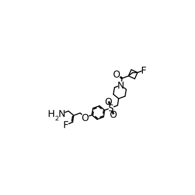 NCC(=CF)COc1ccc(S(=O)(=O)CC2CCN(C(=O)C34CC(F)(C3)C4)CC2)cc1